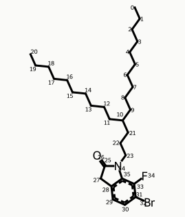 CCCCCCCCCCC(CCCCCCCCCC)CCCN1C(=O)Cc2ccc(Br)c(F)c21